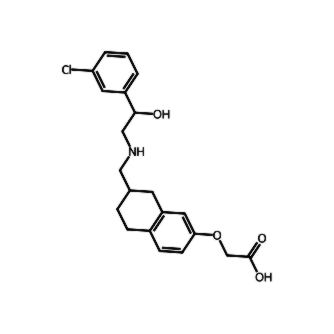 O=C(O)COc1ccc2c(c1)CC(CNCC(O)c1cccc(Cl)c1)CC2